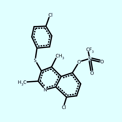 Cc1nc2c(Cl)ccc(OS(=O)(=O)C(F)(F)F)c2c(C)c1Sc1ccc(Cl)cc1